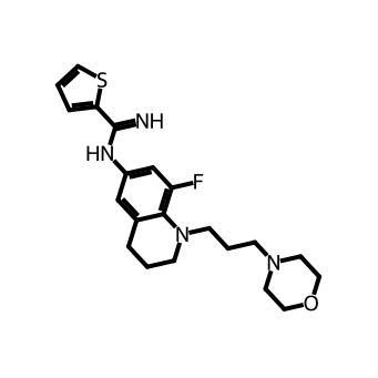 N=C(Nc1cc(F)c2c(c1)CCCN2CCCN1CCOCC1)c1cccs1